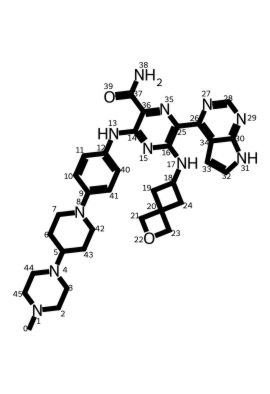 CN1CCN(C2CCN(c3ccc(Nc4nc(NC5CC6(COC6)C5)c(-c5ncnc6[nH]ccc56)nc4C(N)=O)cc3)CC2)CC1